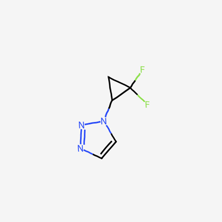 FC1(F)CC1n1ccnn1